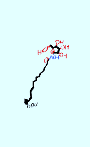 CCCC/C=C\CCCCCCCCCCCC(=O)N[C@@H]1OC(CO)[C@@H](O)C(O)C1O